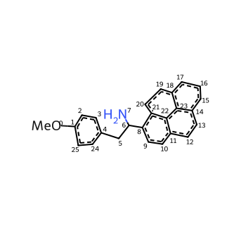 COc1ccc(CC(N)c2ccc3ccc4cccc5ccc2c3c45)cc1